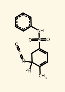 [2H]C1(N=C=O)CC(S(=O)(=O)Nc2ccccc2)=CC=C1C